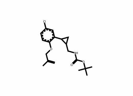 C=C(C)COc1ccc(Cl)cc1C1CC1CNC(=O)OC(C)(C)C